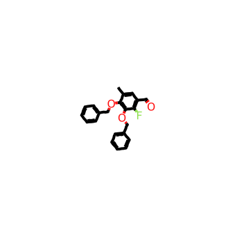 Cc1cc(C=O)c(F)c(OCc2ccccc2)c1OCc1ccccc1